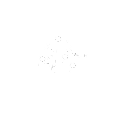 CCOC(=O)[C@H](CCc1ccccc1)N[C@H]1CCc2ccccc2N(CC(=O)O)C1=O.COC[C@H]1CN(c2ccc(OCC[C@@H](O)C(F)(F)F)cc2)C(=O)O1.Cl.NCC(CC(=O)O)c1ccc(Cl)cc1